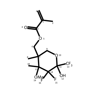 C=C(C)C(=O)OCC1(C)COC(O)(C(F)(F)F)C(F)(F)C1(C)OC